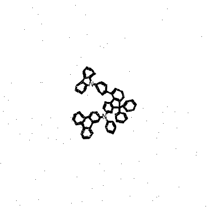 C1=CCCC(C2(c3ccccc3)C3=C(C(c4ccc(-n5c6ccccc6c6ccccc65)cc4)=CCC3)c3ccc(N(c4ccccc4)c4ccc5c6ccccc6c6ccccc6c5c4)cc32)=C1